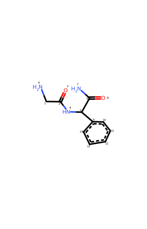 NCC(=O)NC(C(N)=O)c1ccccc1